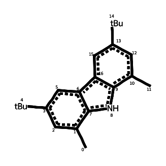 Cc1cc(C(C)(C)C)cc2c1[nH]c1c(C)cc(C(C)(C)C)cc12